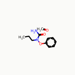 C=O.CCCN(Oc1ccccc1)C(N)=O